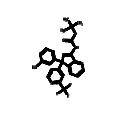 CC(C)(C)OC(=O)NC1=NC(c2cccc(O)c2)(c2ccnc(C(F)(F)F)c2)c2cccnc21